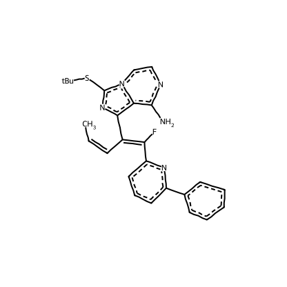 C/C=C\C(=C(\F)c1cccc(-c2ccccc2)n1)c1nc(SC(C)(C)C)n2ccnc(N)c12